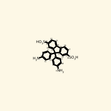 Nc1ccc(C2(c3ccc(N)cc3)c3cc(S(=O)(=O)O)ccc3-c3ccc(S(=O)(=O)O)cc32)cc1